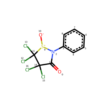 O=C1N(c2ccccc2)[S+]([O-])C(Cl)(Cl)C1(Cl)Cl